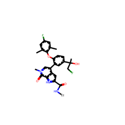 CCNC(=O)c1cc2c(-c3cc(C(C)(O)CF)ccc3Oc3c(C)cc(F)cc3C)cn(C)c(=O)c2[nH]1